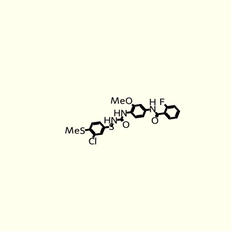 COc1cc(NC(=O)c2ccccc2F)ccc1NC(=O)NSc1ccc(SC)c(Cl)c1